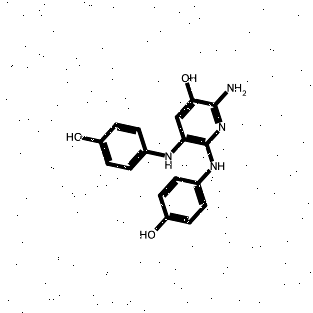 Nc1nc(Nc2ccc(O)cc2)c(Nc2ccc(O)cc2)cc1O